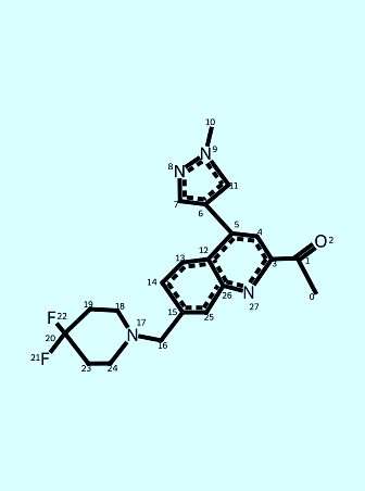 CC(=O)c1cc(-c2cnn(C)c2)c2ccc(CN3CCC(F)(F)CC3)cc2n1